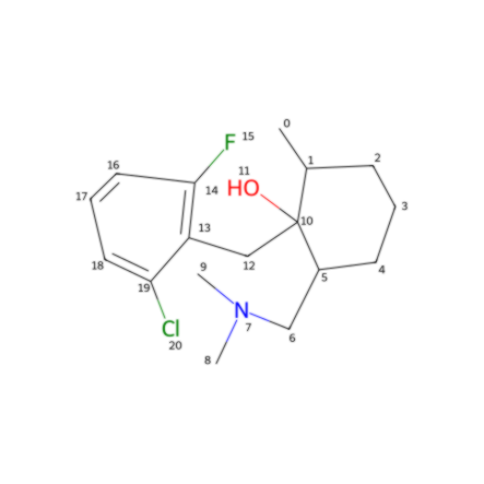 CC1CCCC(CN(C)C)C1(O)Cc1c(F)cccc1Cl